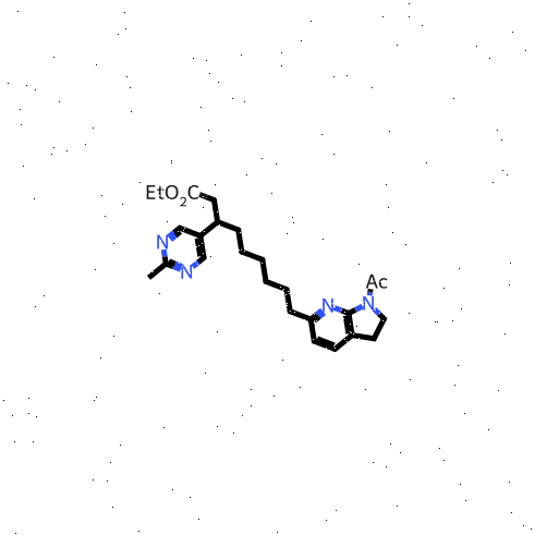 CCOC(=O)CC(CCCCCCc1ccc2c(n1)N(C(C)=O)CC2)c1cnc(C)nc1